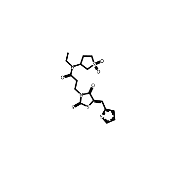 CCN(C(=O)CCN1C(=O)/C(=C/c2cccs2)SC1=S)C1CCS(=O)(=O)C1